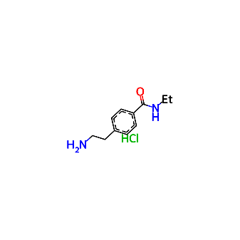 CCNC(=O)c1ccc(CCN)cc1.Cl